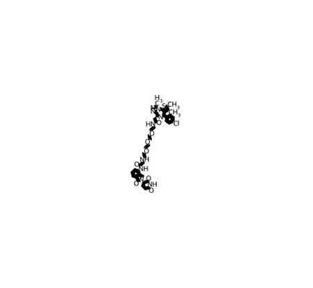 Cc1sc2c(c1C)C(c1ccc(Cl)cc1)=N[C@@H](CC(=O)NCCOCCOCCOCCNCC(=O)Nc1cccc3c1CN(C1CCC(=O)NC1=O)C3=O)c1nnc(C)n1-2